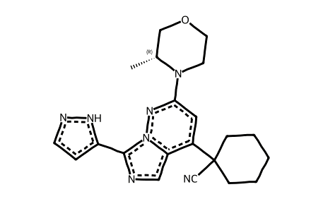 C[C@@H]1COCCN1c1cc(C2(C#N)CCCCC2)c2cnc(-c3ccn[nH]3)n2n1